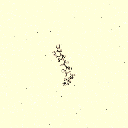 CC(C)(C)S(=O)(=O)c1cc(C(=O)NC23CC(c4nc5cc(Cl)ccc5s4)(C2)C3)ccn1